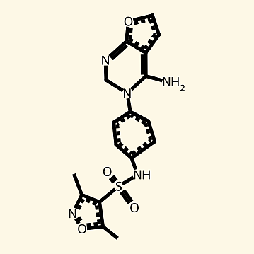 Cc1noc(C)c1S(=O)(=O)Nc1ccc(N2CN=c3occc3=C2N)cc1